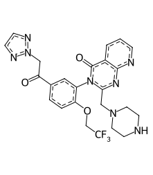 O=C(Cn1nccn1)c1ccc(OCC(F)(F)F)c(-n2c(CN3CCNCC3)nc3ncccc3c2=O)c1